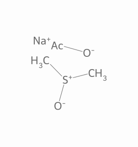 CC(=O)[O-].C[S+](C)[O-].[Na+]